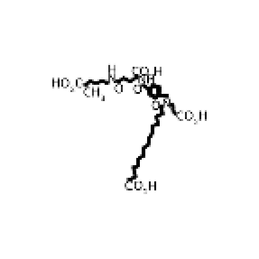 C[C@@H](CCCCNC(=O)CC[C@@H](NC(=O)c1ccc(CN(CCC(=O)O)C(=O)CCCCCCCCCCCCCCC(=O)O)cc1)C(=O)O)C(=O)O